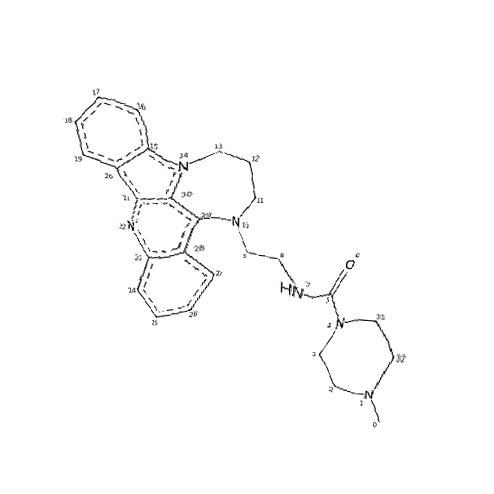 CN1CCN(C(=O)NCCN2CCCn3c4ccccc4c4nc5ccccc5c2c43)CC1